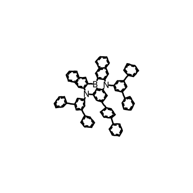 c1ccc(-c2ccc(-c3cc4c5c(c3)N(c3cc(-c6ccccc6)cc(-c6ccccc6)c3)c3cc6ccccc6cc3B5c3cc5ccccc5cc3N4c3cc(-c4ccccc4)cc(-c4ccccc4)c3)cc2)cc1